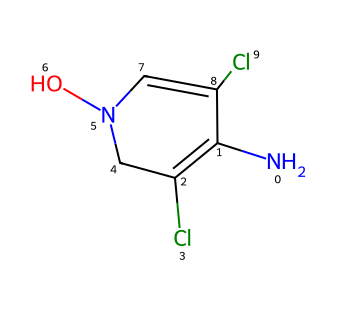 NC1=C(Cl)CN(O)C=C1Cl